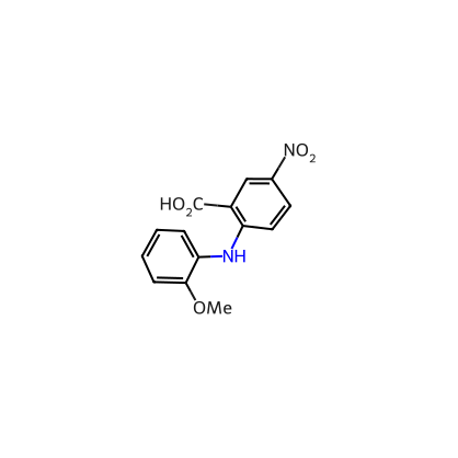 COc1ccccc1Nc1ccc([N+](=O)[O-])cc1C(=O)O